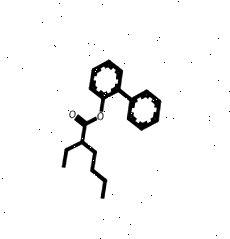 CCCCC(CC)C(=O)Oc1ccccc1-c1ccccc1